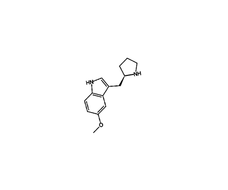 COc1ccc2[nH]cc(C[C@H]3CCCN3)c2c1